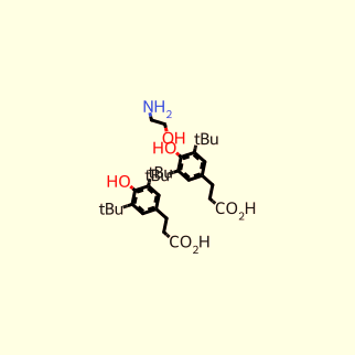 CC(C)(C)c1cc(CCC(=O)O)cc(C(C)(C)C)c1O.CC(C)(C)c1cc(CCC(=O)O)cc(C(C)(C)C)c1O.NCCO